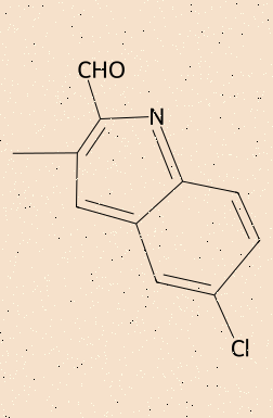 Cc1cc2cc(Cl)ccc2nc1C=O